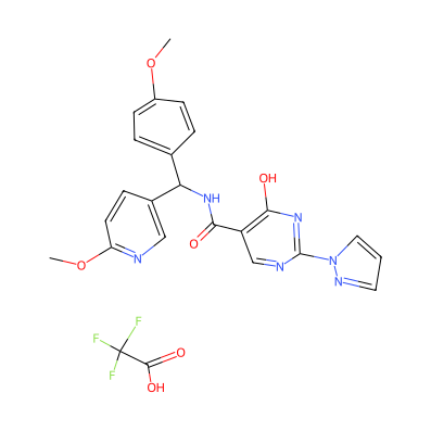 COc1ccc(C(NC(=O)c2cnc(-n3cccn3)nc2O)c2ccc(OC)nc2)cc1.O=C(O)C(F)(F)F